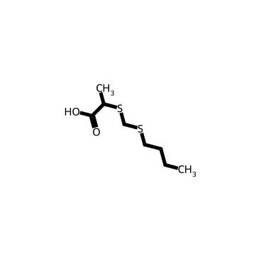 CCCCSCSC(C)C(=O)O